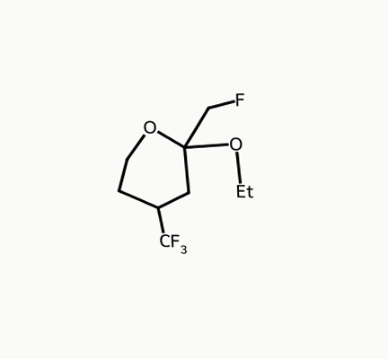 CCOC1(CF)CC(C(F)(F)F)CCO1